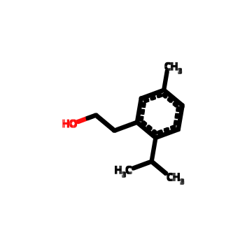 Cc1ccc(C(C)C)c(CCO)c1